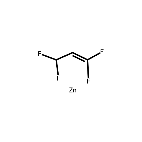 FC(F)=CC(F)F.[Zn]